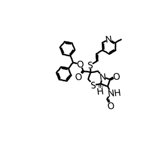 Cc1ccc(C=CSC2(C(=O)OC(c3ccccc3)c3ccccc3)CS[C@@H]3C(NC=O)C(=O)N3C2)cn1